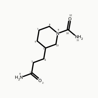 NC(=O)C[CH]C1CCCN(C(N)=O)C1